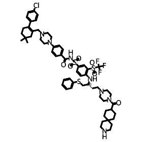 CC1(C)CCC(c2ccc(Cl)cc2)=C(CN2CCN(c3ccc(C(=O)NS(=O)(=O)c4ccc(N[C@H](CCN5CCN(C(=O)C6CCC7(CCNCC7)CC6)CC5)CSc5ccccc5)c(S(=O)(=O)C(F)(F)F)c4)cc3)CC2)C1